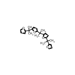 CC(C)(c1ccco1)c1ccc(C(C)(C)c2ccc(C(C)(C)c3ccco3)o2)o1